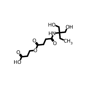 CCC(CO)(CO)NC(=O)CCC(=O)OCCC(=O)O